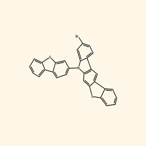 Brc1ccc2c3cc4c(cc3n(-c3ccc5c(c3)sc3ccccc35)c2c1)sc1ccccc14